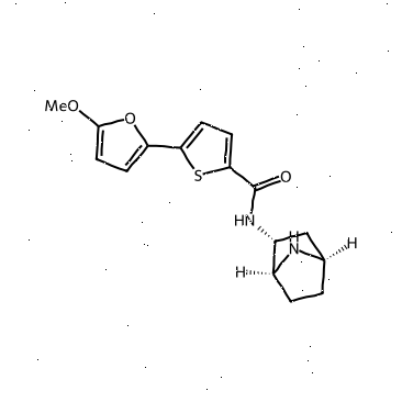 COc1ccc(-c2ccc(C(=O)N[C@@H]3C[C@H]4CC[C@@H]3N4)s2)o1